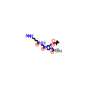 CC(C)(C)C(=O)CN1CCN(C(=O)CCNC(=O)CCCCN=[N+]=[N-])CC1COC(=O)C1(C)CC1